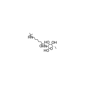 CC[C@@H]1O[C@@H](O)[C@@H](NCC(=O)CCCCCNC(C)(C)C)[C@H](O)[C@H]1O